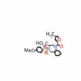 COc1ccc(S(=O)(=O)N2Cc3ccccc3N(C(=O)c3cc(C)co3)CC2C(=O)O)cc1